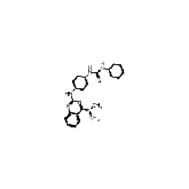 CN(C)c1nc(N[C@H]2CC[C@@H](NC(=S)NC3CCCCC3)CC2)nc2ccccc12